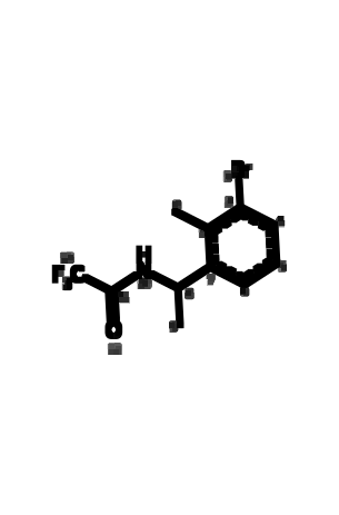 Cc1c(Br)cccc1C(C)NC(=O)C(F)(F)F